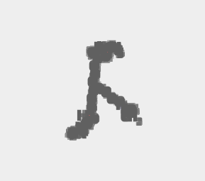 Cn1cc(/C=N/OCCOCCOCCOCC(COCCOCCOCCNC(=O)c2ccc(-n3nnc(-c4ccccc4)n3)cc2)OCCOCCOCCN2Cc3ccccc3C3C(N=NN3c3ccc(N=C=S)cc3)c3ccccc32)c2ccccc21